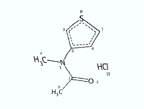 CC(=O)N(C)c1ccsc1.Cl